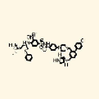 CN(C)CC[C@H](CSc1ccccc1)Nc1ccc(S(=O)(=O)NC(=O)c2ccc(N3CCN(Cc4cc(CN5C[C@H]6C[C@@H]5CN6)ccc4-c4ccc(Cl)cc4)CC3)cc2)cc1[N+](=O)[O-]